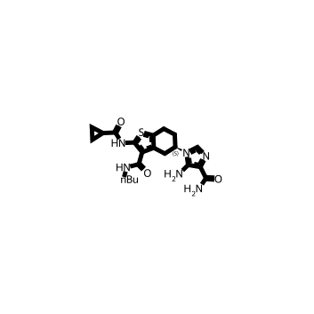 CCCCNC(=O)c1c(NC(=O)C2CC2)sc2c1C[C@@H](n1cnc(C(N)=O)c1N)CC2